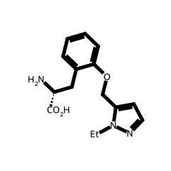 CCn1nccc1COc1ccccc1C[C@@H](N)C(=O)O